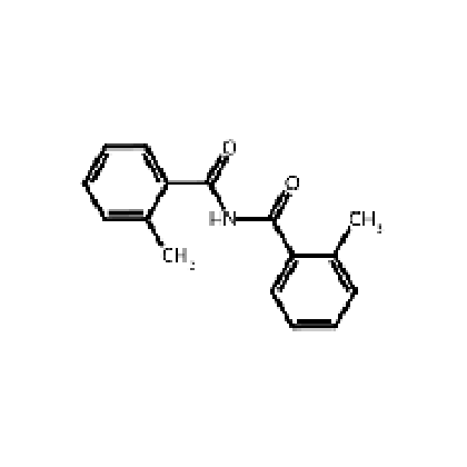 Cc1ccccc1C(=O)NC(=O)c1ccccc1C